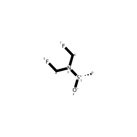 C[S@+]([O-])N(CF)CF